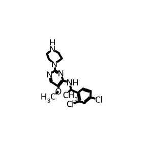 COc1cnc(N2CCNCC2)nc1NC(C)c1ccc(Cl)cc1Cl